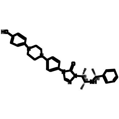 C[C@H]([C@@H](C)N[C@H](C)c1ccccc1)n1ncn(-c2ccc(N3CCN(c4ccc(O)cc4)CC3)cc2)c1=O